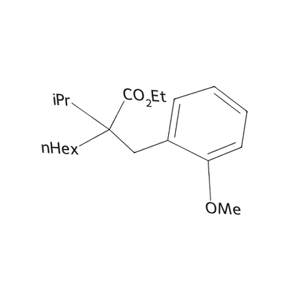 CCCCCCC(Cc1ccccc1OC)(C(=O)OCC)C(C)C